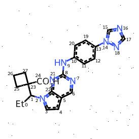 [CH2]CC(n1ccc2cnc(Nc3ccc(-n4cncn4)cc3)nc21)C1(C(=O)O)CCC1